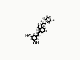 C[C@@H]1CN(C[C@@H](C)[C@H]2CC[C@H]3/C(=C/C=C4C[C@@H](O)C[C@H](O)C4)CCC[C@]23C)[C@@H](C)CO1